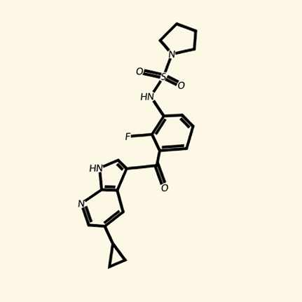 O=C(c1cccc(NS(=O)(=O)N2CCCC2)c1F)c1c[nH]c2ncc(C3CC3)cc12